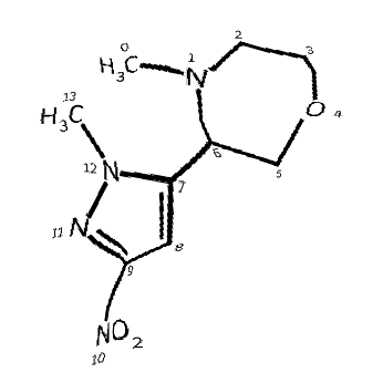 CN1CCOCC1c1cc([N+](=O)[O-])nn1C